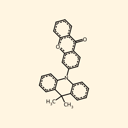 CC1(C)c2ccccc2N(c2ccc3c(=O)c4ccccc4oc3c2)c2ccccc21